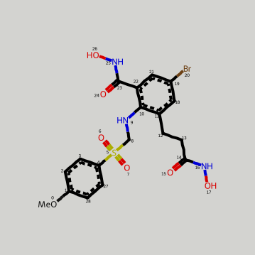 COc1ccc(S(=O)(=O)CNc2c(CCC(=O)NO)cc(Br)cc2C(=O)NO)cc1